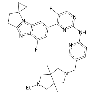 CCN1CC2(C)CN(Cc3ccc(Nc4ncc(F)c(-c5cc(F)c6nc7n(c6c5)C5(CC7)CC5)n4)nc3)CC2(C)C1